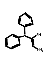 N/C=C(\S)N(c1ccccc1)c1ccccc1